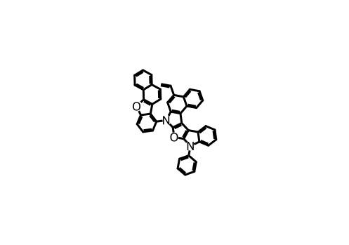 C=Cc1cc2c(c3ccccc13)c1c3c4ccccc4n(-c4ccccc4)c3oc1n2-c1cccc2oc3c4ccccc4ccc3c12